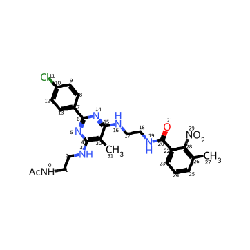 CC(=O)NCCNc1nc(-c2ccc(Cl)cc2)nc(NCCNC(=O)c2cccc(C)c2[N+](=O)[O-])c1C